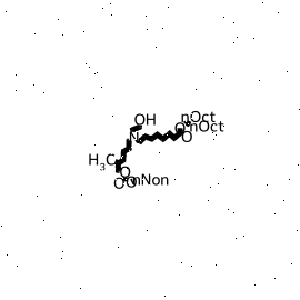 CCCCCCCCCOC(=O)OCC(C)CCCCN(CCO)CCCCCCCC(=O)OC(CCCCCCCC)CCCCCCCC